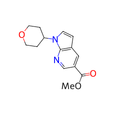 COC(=O)c1cnc2c(ccn2C2CCOCC2)c1